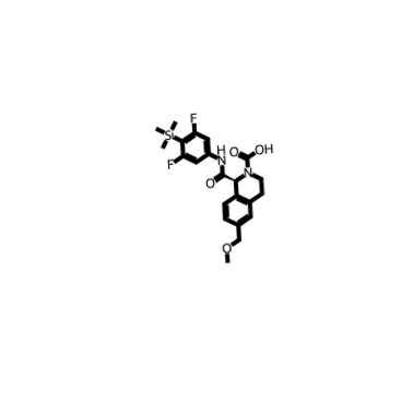 COCc1ccc2c(c1)CCN(C(=O)O)[C@@H]2C(=O)Nc1cc(F)c([Si](C)(C)C)c(F)c1